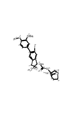 COc1cc(-c2cc3c(cc2F)[C@H](NC(=O)O[C@H]2CN4CCC2CC4)C(C)(C)C3)ccc1OC(C)C